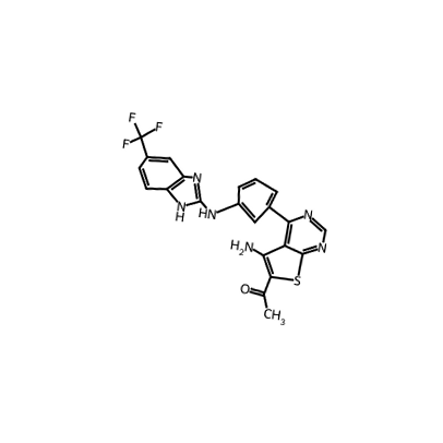 CC(=O)c1sc2ncnc(-c3cccc(Nc4nc5cc(C(F)(F)F)ccc5[nH]4)c3)c2c1N